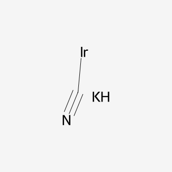 N#[C][Ir].[KH]